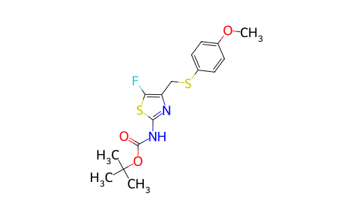 COc1ccc(SCc2nc(NC(=O)OC(C)(C)C)sc2F)cc1